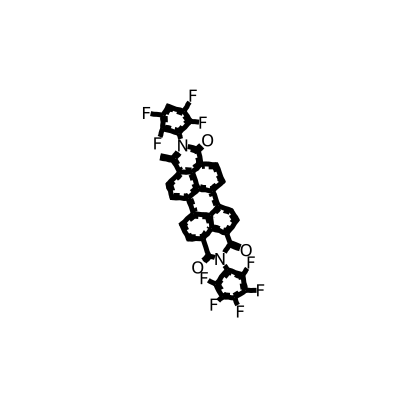 C=c1c2ccc3c4ccc5c6c(ccc(c7ccc(c(=O)n1-c1c(F)c(F)cc(F)c1F)c2c37)c64)C(=O)N(c1c(F)c(F)c(F)c(F)c1F)C5=O